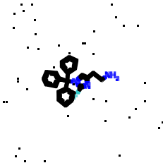 NCCc1cn(C(c2ccccc2)(c2ccccc2)c2ccccc2)c(F)n1